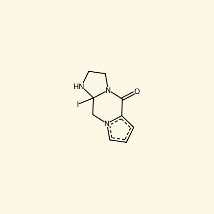 O=C1c2cccn2CC2(I)NCCN12